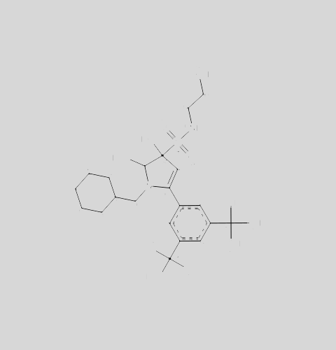 CC1N(CC2CCCCC2)C(c2cc(C(C)(C)C)cc(C(C)(C)C)c2)=CC1(C)S(=O)(=O)NCCO